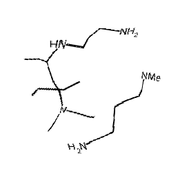 CC(NCCN)C(C)(C)N(C)C.CNCCCN